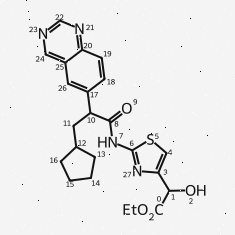 CCOC(=O)C(O)c1csc(NC(=O)C(CC2CCCC2)c2ccc3ncncc3c2)n1